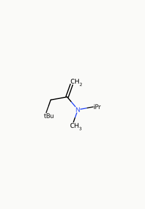 C=C(CC(C)(C)C)N(C)C(C)C